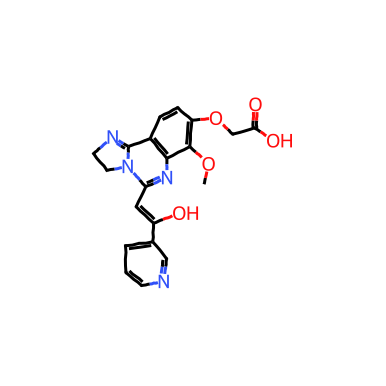 COc1c(OCC(=O)O)ccc2c1N=C(/C=C(\O)c1cccnc1)N1CCN=C21